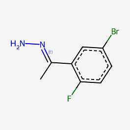 C/C(=N\N)c1cc(Br)ccc1F